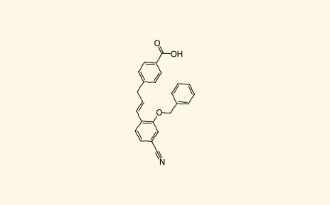 N#Cc1ccc(C=CCc2ccc(C(=O)O)cc2)c(OCc2ccccc2)c1